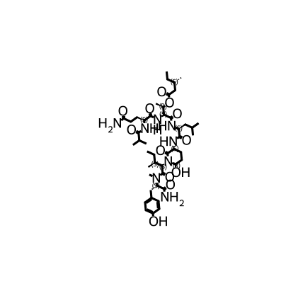 CC[C@H](C)CC(=O)O[C@H](C)[C@H](NC(=O)[C@H](CCC(N)=O)NC(=O)C(C)C)C(=O)N[C@@H](CC(C)C)C(=O)N[C@H]1CC[C@@H](O)N([C@H](C(=O)N(C)[C@@H](Cc2ccc(O)cc2)C(N)=O)[C@@H](C)CC)C1=O